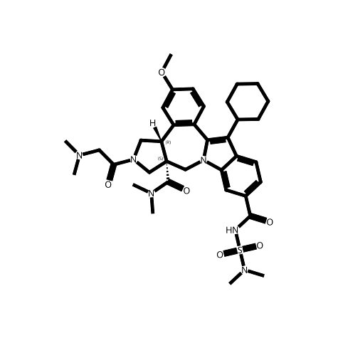 COc1ccc2c(c1)[C@H]1CN(C(=O)CN(C)C)C[C@]1(C(=O)N(C)C)Cn1c-2c(C2CCCCC2)c2ccc(C(=O)NS(=O)(=O)N(C)C)cc21